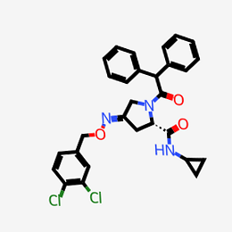 O=C(NC1CC1)[C@@H]1CC(=NOCc2ccc(Cl)c(Cl)c2)CN1C(=O)C(c1ccccc1)c1ccccc1